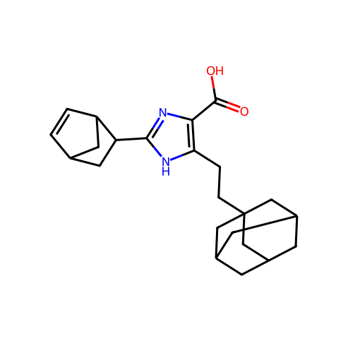 O=C(O)c1nc(C2CC3C=CC2C3)[nH]c1CCC12CC3CC(CC(C3)C1)C2